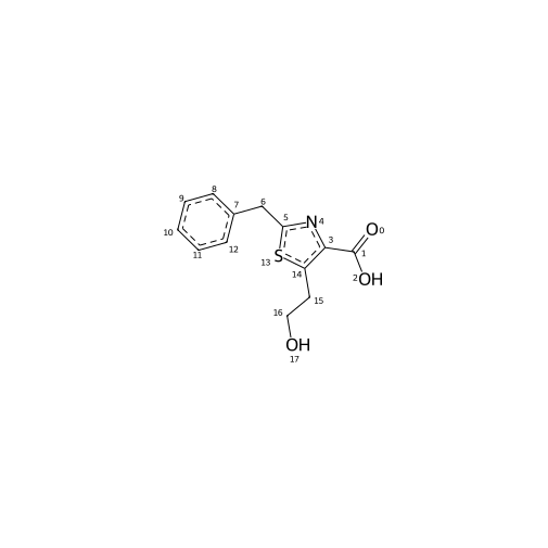 O=C(O)c1nc(Cc2ccccc2)sc1CCO